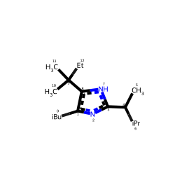 CCC(C)c1nc(C(C)C(C)C)[nH]c1C(C)(C)CC